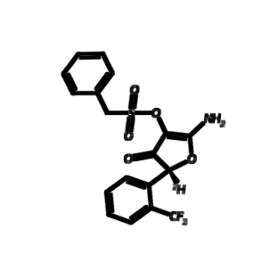 [2H][C@]1(c2ccccc2C(F)(F)F)OC(N)=C(OS(=O)(=O)Cc2ccccc2)C1=O